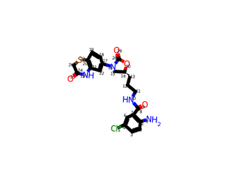 Nc1ccc(Cl)cc1C(=O)NCCC[C@@H]1CN(c2ccc3c(c2)NC(=O)CS3)C(=O)O1